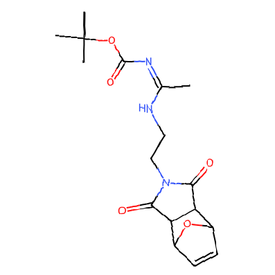 C/C(=N/C(=O)OC(C)(C)C)NCCN1C(=O)C2C3C=CC(O3)C2C1=O